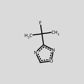 CC(C)(F)c1n[c]on1